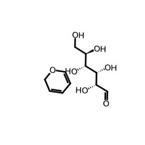 C1=CCOC=C1.O=C[C@H](O)[C@@H](O)[C@H](O)[C@H](O)CO